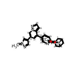 CC#CN1C2CC1CN(c1ccc(-c3cc(-c4cnn(C)c4)cn4nccc34)cn1)C2